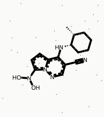 C[C@@H]1CCCC[C@@H]1Nc1c(C#N)cnn2c(N(O)O)ccc12